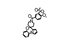 COc1ccc(C(=O)N2CCC3(CC2)Oc2ccccc2-n2cccc23)cc1S(C)(=O)=O